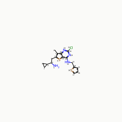 Cc1c(CC(N)C2CC2)sc2c(NCc3cccs3)nc(Cl)nc12